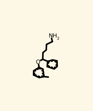 Cc1cccc(OC(CCCCN)c2ccccc2)c1